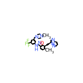 Cc1ccc2c(Nc3cc(CN4CCN(C)CC4)cc(C(F)(F)F)c3)noc2c1C#Cc1cnc2cccnn12